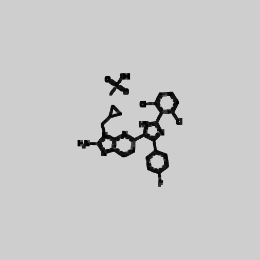 CS(=O)(=O)O.Nc1nc2ccc(-c3[nH]c(-c4c(Cl)cccc4Cl)nc3-c3ccc(F)cc3)nc2n1CC1CC1